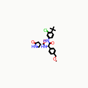 COCc1ccc([C@@H](NC(=O)[C@@H]2CNC(=O)C2)C(=O)Nc2ccc(C(C)(C)C)c(Cl)c2)cc1